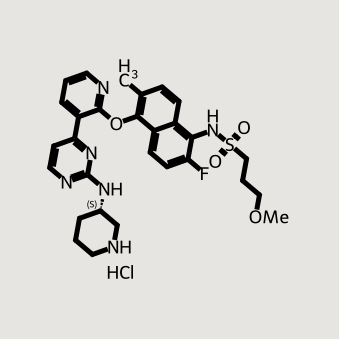 COCCCS(=O)(=O)Nc1c(F)ccc2c(Oc3ncccc3-c3ccnc(N[C@H]4CCCNC4)n3)c(C)ccc12.Cl